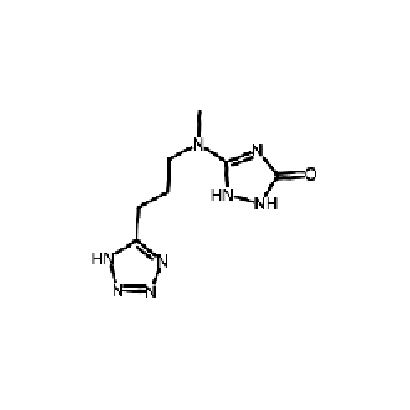 CN(CCCc1nnn[nH]1)c1nc(=O)[nH][nH]1